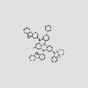 Cc1cc2c3c(c1)N(c1cccc4c1oc1ccccc14)c1cc(N4c5ccccc5C5(C)CCCCC45C)ccc1B3c1ccc(-c3ccccc3)cc1N2c1ccc2c(c1)oc1ccccc12